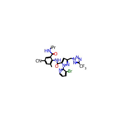 [C-]#[N+]c1cc(C)c(NC(=O)c2cc(Cn3nnc(C(F)(F)F)n3)nn2-c2ncccc2Br)c(C(=O)NC(C)C)c1